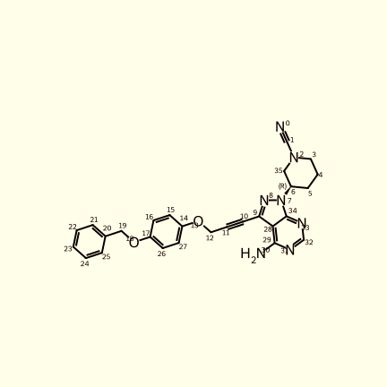 N#CN1CCC[C@@H](n2nc(C#CCOc3ccc(OCc4ccccc4)cc3)c3c(N)ncnc32)C1